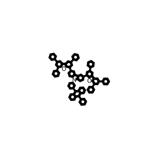 c1ccc(-c2cc(-c3ccccc3)c3oc4c(-c5ccc6c(c5)c5cc(-c7cc(-c8ccccc8)cc8c7oc7c(-c9ccccc9)cc(-c9ccccc9)cc78)ccc5n6-c5cccc(-c6c7ccccc7c(-c7ccccc7)c7ccccc67)c5)cc(-c5ccccc5)cc4c3c2)cc1